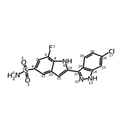 NS(=O)(=O)c1cc(F)c2[nH]c(-c3n[nH]c4cc(Cl)ccc34)cc2c1